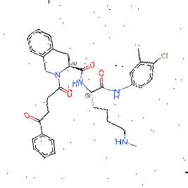 CNCCCC[C@H](NC(=O)[C@@H]1Cc2ccccc2CN1C(=O)CCC(=O)c1ccccc1)C(=O)Nc1ccc(Cl)c(C)c1